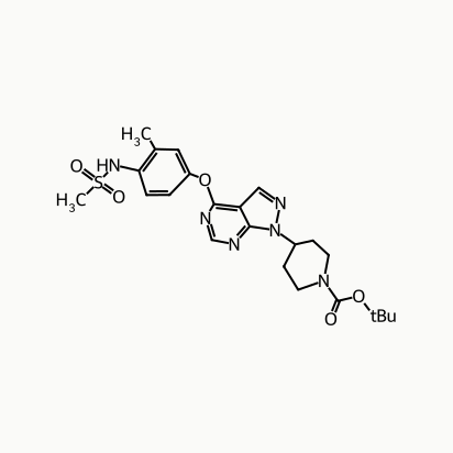 Cc1cc(Oc2ncnc3c2cnn3C2CCN(C(=O)OC(C)(C)C)CC2)ccc1NS(C)(=O)=O